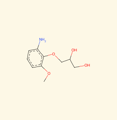 COc1cccc(N)c1OCC(O)CO